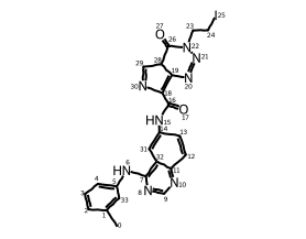 Cc1cccc(Nc2ncnc3ccc(NC(=O)C4=C5N=NN(CCI)C(=O)C5C=N4)cc23)c1